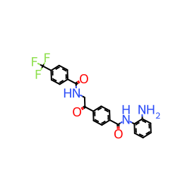 Nc1ccccc1NC(=O)c1ccc(C(=O)CNC(=O)c2ccc(C(F)(F)F)cc2)cc1